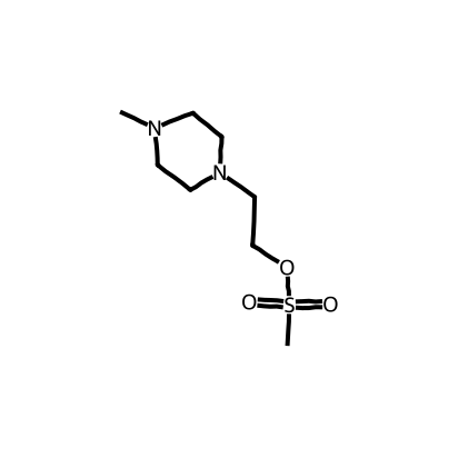 CN1CCN(CCOS(C)(=O)=O)CC1